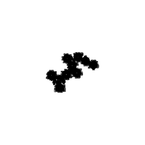 c1ccc(-c2ccc(-c3cccc(-n4c5ccccc5c5cc6c(cc54)c4ccccc4n6-c4ccc(-c5cc(-c6ccccc6)nc(-c6ccccc6)n5)cc4)c3)cc2)cc1